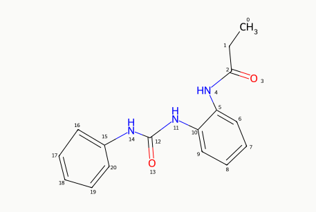 CCC(=O)Nc1ccccc1NC(=O)Nc1ccccc1